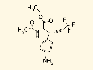 CCOC(=O)[C@@H](NC(C)=O)[C@H](C#CC(F)(F)F)c1ccc(N)cc1